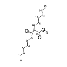 CCCCCCCC(=O)C(CCCCCC)C(=O)OC